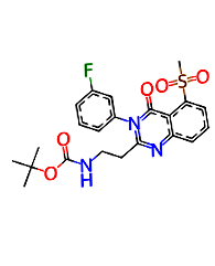 CC(C)(C)OC(=O)NCCc1nc2cccc(S(C)(=O)=O)c2c(=O)n1-c1cccc(F)c1